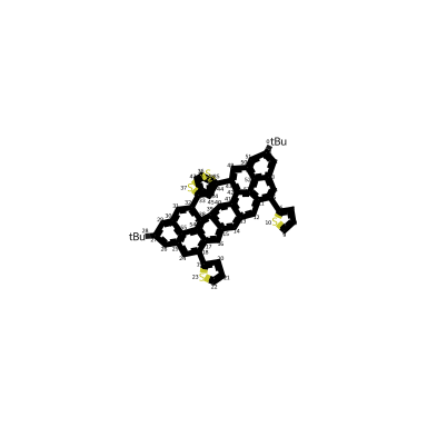 CC(C)(C)c1cc2cc(-c3cccs3)c3cc4cc5cc6c(-c7cccs7)cc7cc(C(C)(C)C)cc8cc(-c9cccs9)c(c5cc4c4c(-c5cccs5)cc(c1)c2c34)c6c78